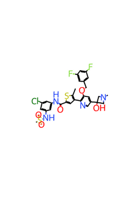 Cc1sc(C(=O)Nc2cc(Cl)cc(NS(C)(=O)=O)c2)cc1-c1ncc(C2(O)CN(C)C2)cc1OCc1cc(F)cc(F)c1